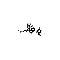 CCCC/N=C1\CCc2c(Oc3cc(F)cc4[nH]ncc34)ccc(S(=O)(=O)C(F)(F)F)c21